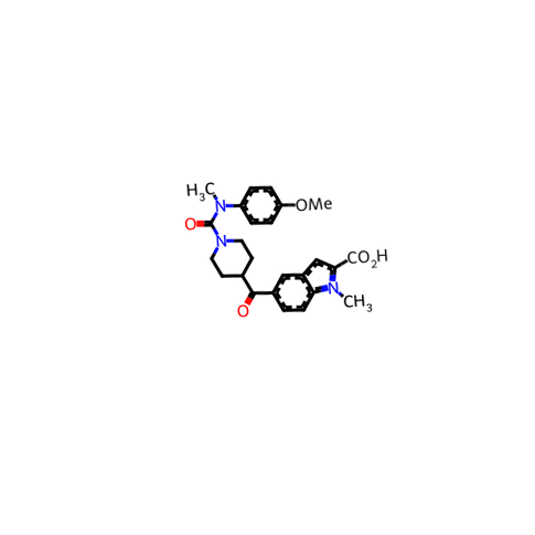 COc1ccc(N(C)C(=O)N2CCC(C(=O)c3ccc4c(c3)cc(C(=O)O)n4C)CC2)cc1